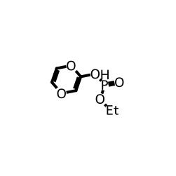 CCO[PH](=O)OC1=COC=CO1